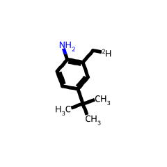 [2H]Cc1cc(C(C)(C)C)ccc1N